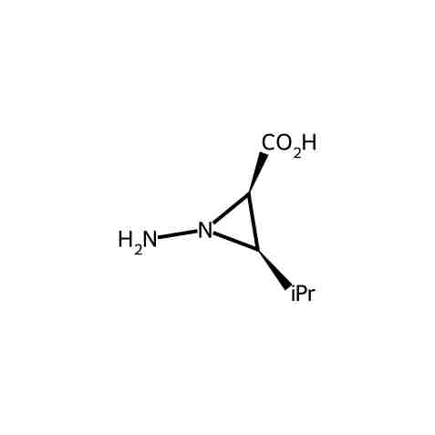 CC(C)[C@@H]1[C@H](C(=O)O)N1N